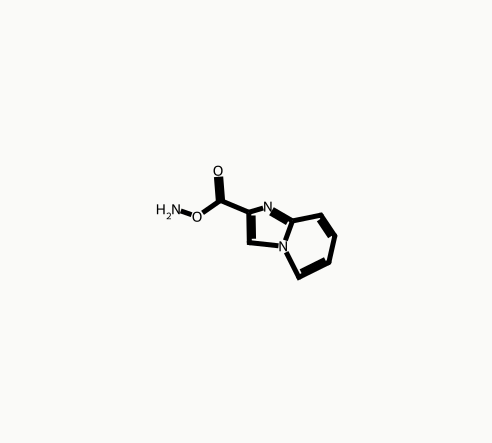 NOC(=O)c1cn2ccccc2n1